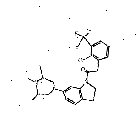 CC1CN(c2ccc3c(c2)N(C(=O)Cc2cccc(C(F)(F)F)c2Cl)CC3)CC(C)N1C